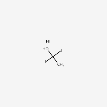 CC(O)(I)I.I